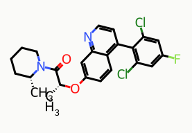 C[C@@H]1CCCCN1C(=O)[C@@H](C)Oc1ccc2c(-c3c(Cl)cc(F)cc3Cl)ccnc2c1